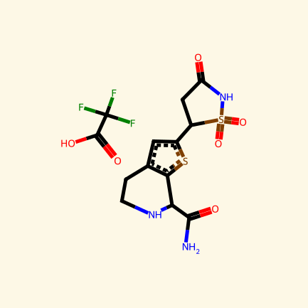 NC(=O)C1NCCc2cc(C3CC(=O)NS3(=O)=O)sc21.O=C(O)C(F)(F)F